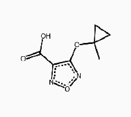 CC1(Oc2nonc2C(=O)O)CC1